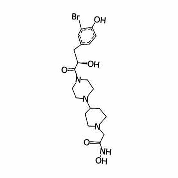 O=C(CN1CCC(N2CCN(C(=O)[C@H](O)Cc3ccc(O)c(Br)c3)CC2)CC1)NO